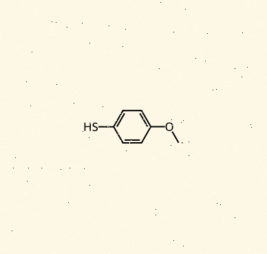 [CH2]Oc1ccc(S)cc1